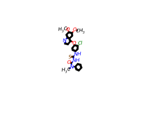 COc1cc2nccc(Oc3ccc(NC(=S)NC(=O)N(C)c4ccccc4)cc3Cl)c2cc1OC